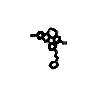 Oc1ccc2c(c1)O[C@@H](c1ccc(OCCN3CCCCC3)cc1)C1=C2CCCOc2cc(O)ccc21